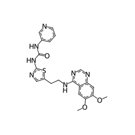 COc1cc2ncnc(NCCc3cnc(NC(=O)Nc4cccnc4)s3)c2cc1OC